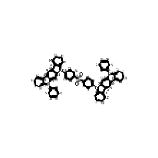 O=S(=O)(c1ccc(-n2c3ccccc3c3cc4c5ccccc5n(-c5ccccc5)c4cc32)cc1)c1ccc(-n2c3ccccc3c3cc4c5ccccc5n(-c5ccccc5)c4cc32)cc1